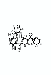 CC1(Nc2ncc(N)c(N[C@H]3CC[C@H](C(=O)N4CCCCC4)CC3)n2)CCOCC1